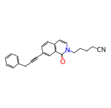 N#CCCCCn1ccc2ccc(C#CCc3ccccc3)cc2c1=O